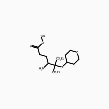 CCOC(=O)C(OC1CCOCC1)(C(=O)OCC)C(N)CCC(=O)OC(C)(C)C